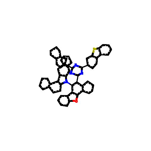 c1ccc2cc(-c3nc(-c4ccc5c(c4)sc4ccccc45)nc(-c4c(-n5c6cc7ccccc7cc6c6c7ccccc7ccc65)c5c6ccccc6oc5c5ccccc45)n3)ccc2c1